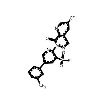 CCS(=O)(=O)c1cc(-c2cccc(C(F)(F)F)c2)cnc1-n1ncc2cc(C(F)(F)F)cnc2c1=O